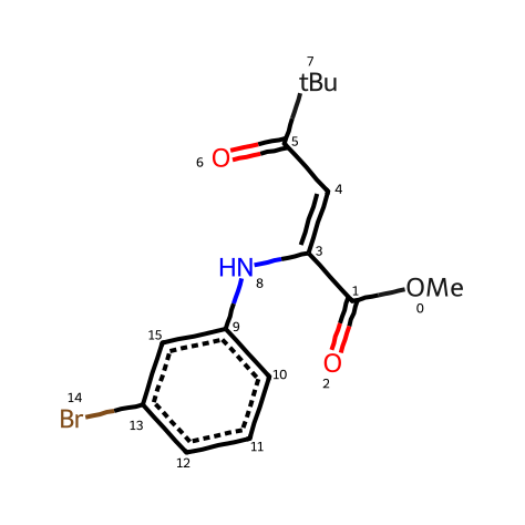 COC(=O)/C(=C/C(=O)C(C)(C)C)Nc1cccc(Br)c1